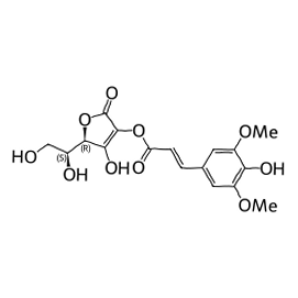 COc1cc(C=CC(=O)OC2=C(O)[C@@H]([C@@H](O)CO)OC2=O)cc(OC)c1O